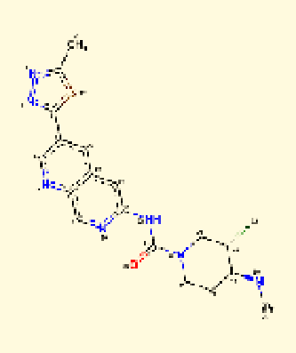 Cc1nnc(-c2cnc3cnc(NC(=O)N4CC[C@H](NC(C)C)[C@@H](F)C4)cc3c2)s1